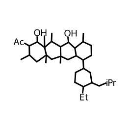 CCC1CCC(C2CCC(C)C3C(O)C4C(C)C5(C)C(O)C(C(C)=O)C(C)CC5(C)CC4(C)CC23)CC1CC(C)C